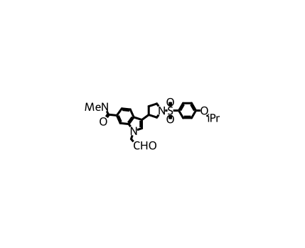 CNC(=O)c1ccc2c(C3CCN(S(=O)(=O)c4ccc(OC(C)C)cc4)C3)cn(CC=O)c2c1